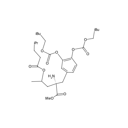 CCC(C)COC(=O)Oc1ccc(C[C@](N)(CC(C)OC(=O)CCC(C)C)C(=O)OC)cc1OC(=O)OCC(C)CC